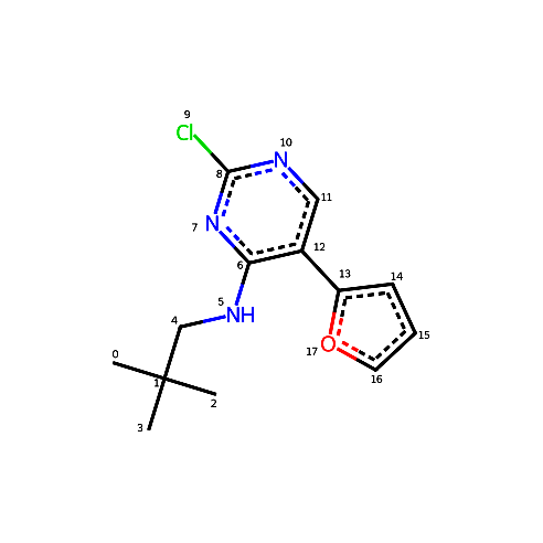 CC(C)(C)CNc1nc(Cl)ncc1-c1ccco1